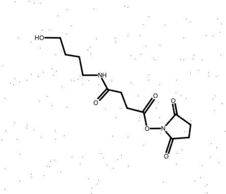 O=C(CCC(=O)ON1C(=O)CCC1=O)NCCCCO